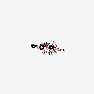 C=Cc1c(C)c(OC(=O)c2c(C)cc(OCc3ccccc3)cc2OC)c(C)c(C)c1C(=O)OCOC